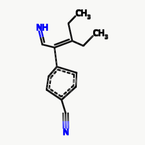 CCC(CC)=C(C=N)c1ccc(C#N)cc1